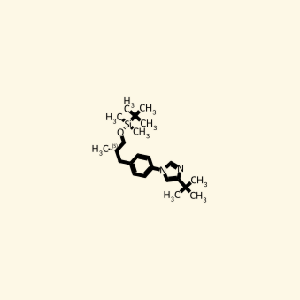 C[C@H](CO[Si](C)(C)C(C)(C)C)Cc1ccc(-n2cnc(C(C)(C)C)c2)cc1